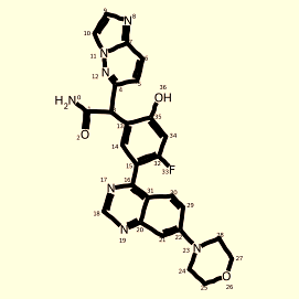 NC(=O)C(c1ccc2nccn2n1)c1cc(-c2ncnc3cc(N4CCOCC4)ccc23)c(F)cc1O